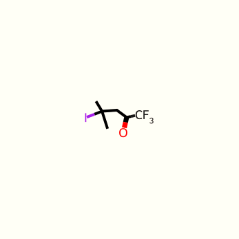 CC(C)(I)CC(=O)C(F)(F)F